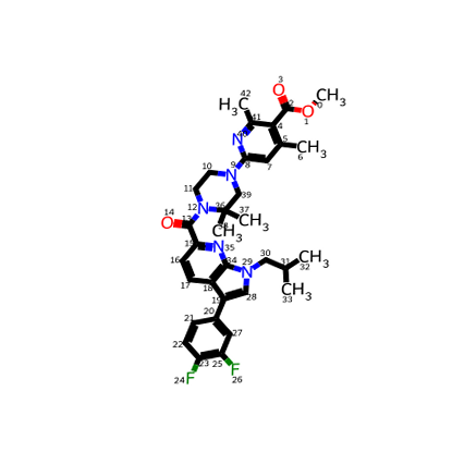 COC(=O)c1c(C)cc(N2CCN(C(=O)c3ccc4c(-c5ccc(F)c(F)c5)cn(CC(C)C)c4n3)C(C)(C)C2)nc1C